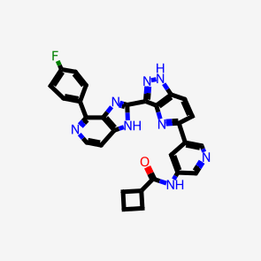 O=C(Nc1cncc(-c2ccc3[nH]nc(-c4nc5c(-c6ccc(F)cc6)nccc5[nH]4)c3n2)c1)C1CCC1